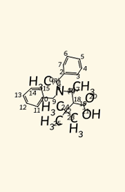 C[C@H](c1ccccc1)N(Cc1ccccc1)[C@H](C)C(C(=O)O)C(C)(C)C